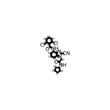 N#Cc1nc2c(NC(=O)c3c(Cl)cccc3Cl)cccc2n1CC(=O)NC1CCCC1